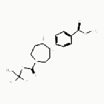 COC(=O)c1ccc([C@@H]2CCN(C(=O)OC(C)(C)C)CC[C@@H]2O)cc1